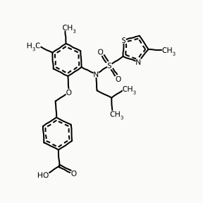 Cc1csc(S(=O)(=O)N(CC(C)C)c2cc(C)c(C)cc2OCc2ccc(C(=O)O)cc2)n1